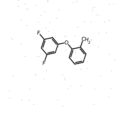 [CH2]c1ccccc1Oc1cc(F)cc(F)c1